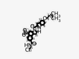 CN(C)CCOc1ccc2[nH]c(C(=O)N3CCc4c3cc([N+](=O)[O-])c3ccc(C(=O)NCCl)cc43)cc2c1